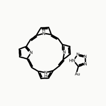 C1=Cc2cc3ccc(cc4nc(cc5ccc(cc1n2)[nH]5)C=C4)[nH]3.[Au][c]1nnn[nH]1